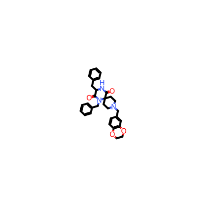 O=C1C(Cc2ccccc2)NC(=O)C2(CCN(Cc3ccc4c(c3)OCCO4)CC2)N1Cc1ccccc1